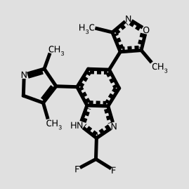 CC1=NCC(C)=C1c1cc(-c2c(C)noc2C)cc2nc(C(F)F)[nH]c12